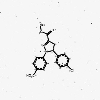 CC(C)(C)OC(=O)C1=NN(c2ccc(C(=O)O)cc2)C(c2ccc(Cl)cc2)C1